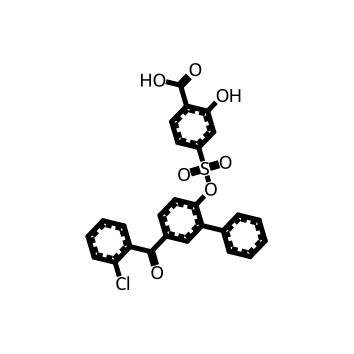 O=C(O)c1ccc(S(=O)(=O)Oc2ccc(C(=O)c3ccccc3Cl)cc2-c2ccccc2)cc1O